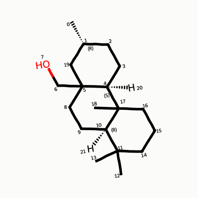 C[C@@H]1CC[C@@H]2C(CO)(CC[C@@H]3C(C)(C)CCCC32C)C1